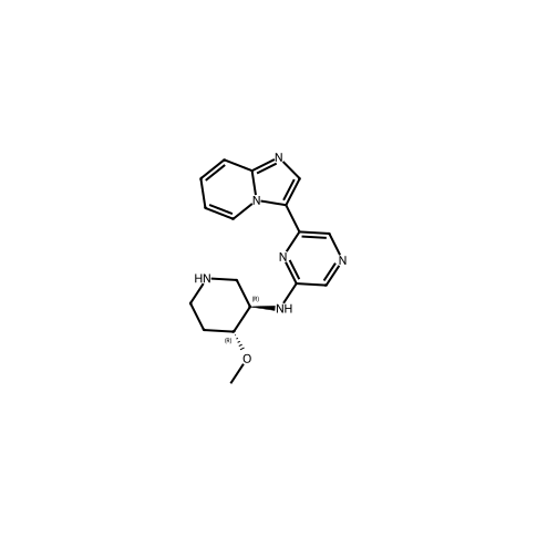 CO[C@@H]1CCNC[C@H]1Nc1cncc(-c2cnc3ccccn23)n1